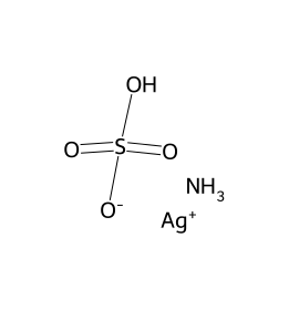 N.O=S(=O)([O-])O.[Ag+]